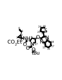 C=C[C@@H]1C[C@]1(NC(=O)[C@@H]1C[C@@H](Oc2nc3ccccc3nc2-c2cccs2)CN1C(=O)OC(C)(C)C)C(=O)OCC